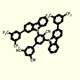 N#Cc1cc(C#N)cc(-c2cc(-n3c4ccccc4c4ccc(-c5cc(C(F)(F)F)cc(C(F)(F)F)c5)cc43)c(C#N)c(-n3c4ccccc4c4ccc(-c5cc(C(F)(F)F)cc(C(F)(F)F)c5)cc43)c2)c1